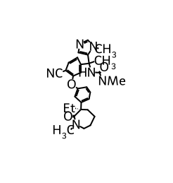 CC[C@]1(c2cccc(Oc3cc(C(C)(NC(=O)NC)c4cncn4C)ccc3C#N)c2)CCCCN(C)C1=O